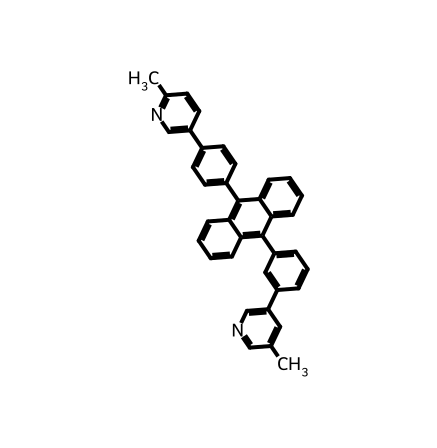 Cc1cncc(-c2cccc(-c3c4ccccc4c(-c4ccc(-c5ccc(C)nc5)cc4)c4ccccc34)c2)c1